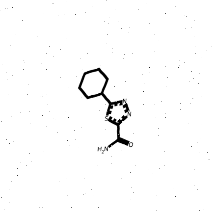 NC(=O)c1nnc(C2CCCCC2)s1